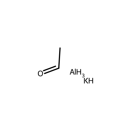 CC=O.[AlH3].[KH]